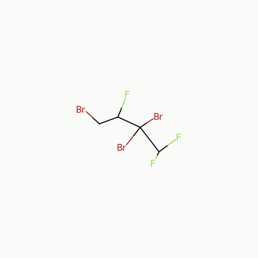 FC(F)C(Br)(Br)C(F)CBr